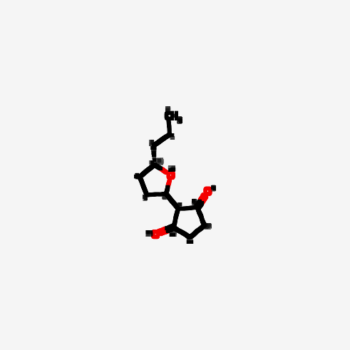 CCC[C@H]1CCC(C2C(=O)CCC2=O)O1